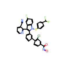 N#Cc1cccnc1-c1c(-c2cccc(-c3ccc(C(=O)N=O)cc3Cl)c2)n(Sc2ccc(C(F)F)cc2)c2ccc(F)cc12